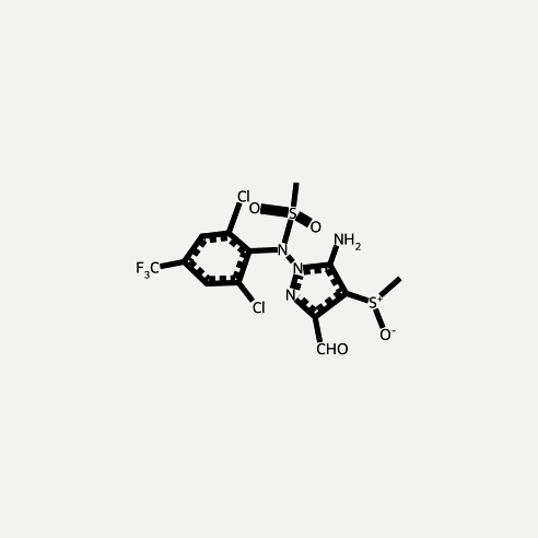 C[S+]([O-])c1c(C=O)nn(N(c2c(Cl)cc(C(F)(F)F)cc2Cl)S(C)(=O)=O)c1N